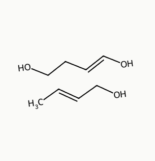 CC=CCO.OC=CCCO